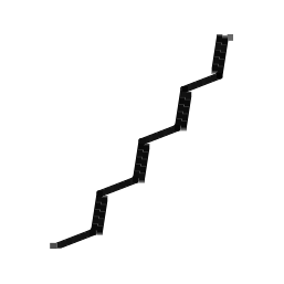 [CH]=CC=CC=CC=C[CH2]